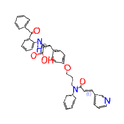 O=C(c1ccccc1)c1ccccc1N[C@@H](Cc1ccc(OCCCN(C(=O)/C=C/c2cccnc2)c2ccccc2)cc1)C(=O)O